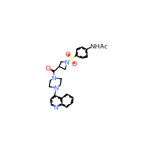 CC(=O)Nc1ccc(S(=O)(=O)N2CC(C(=O)N3CCN(c4ccnc5ccccc45)CC3)C2)cc1